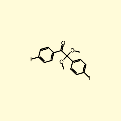 COC(OC)(C(=O)c1ccc(I)cc1)c1ccc(I)cc1